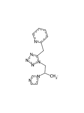 [CH2]C(Cn1nnnc1Cc1ccccn1)n1ccnc1